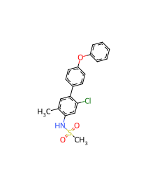 Cc1cc(-c2ccc(Oc3ccccc3)cc2)c(Cl)cc1NS(C)(=O)=O